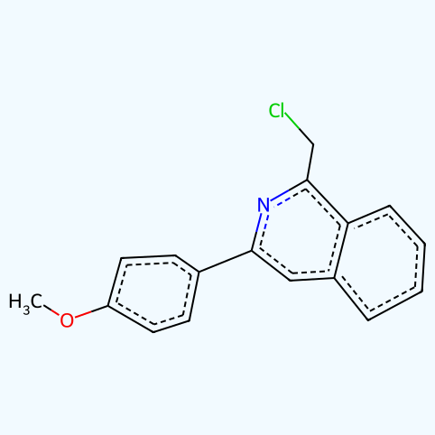 COc1ccc(-c2cc3ccccc3c(CCl)n2)cc1